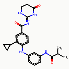 CC(C)C(=O)Nc1cccc(Nc2ccc(C(=O)/N=C3\NCCC(=O)N3)cc2C2CC2)c1